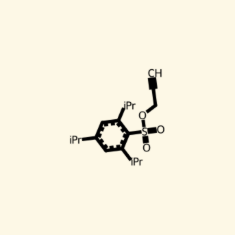 C#CCOS(=O)(=O)c1c(C(C)C)cc(C(C)C)cc1C(C)C